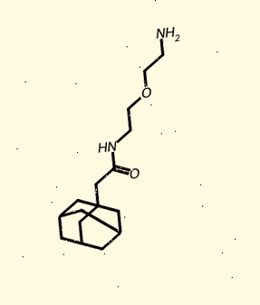 NCCOCCNC(=O)CC12CC3CC(CC(C3)C1)C2